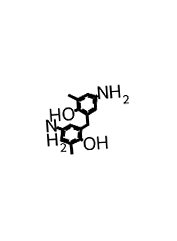 Cc1cc(N)cc(Cc2cc(N)cc(C)c2O)c1O